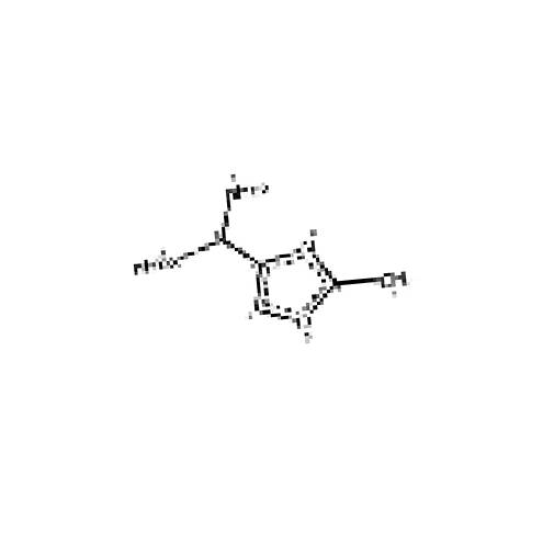 CCCCCCC(CCCCCC)c1coc(C)n1